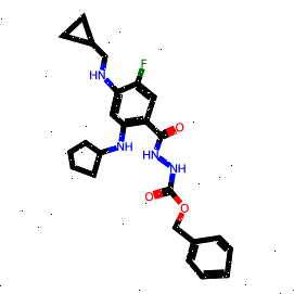 O=C(NNC(=O)c1cc(F)c(NCC2CC2)cc1NC1CCCC1)OCc1ccccc1